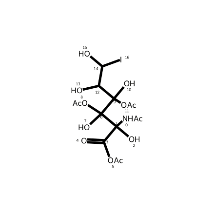 CC(=O)NC(O)(C(=O)OC(C)=O)C(O)(OC(C)=O)C(O)(OC(C)=O)C(O)C(O)I